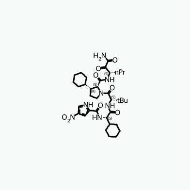 CCC[C@H](NC(=O)[C@@H]1[C@@H](C2CCCCC2)CCN1C(=O)[C@@H](NC(=O)[C@@H](NC(=O)c1cc([N+](=O)[O-])c[nH]1)C1CCCCC1)C(C)(C)C)C(=O)C(N)=O